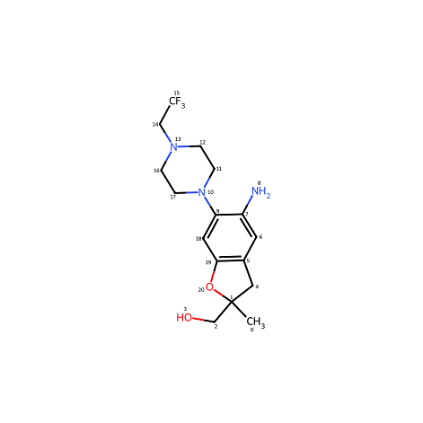 CC1(CO)Cc2cc(N)c(N3CCN(CC(F)(F)F)CC3)cc2O1